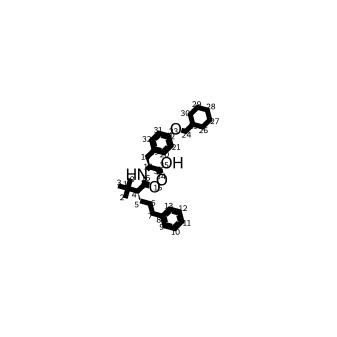 CC(C)(C)[C@@H](CCCc1ccccc1)C(=O)N[C@@H](Cc1ccc(OCC2CCCCC2)cc1)C(=O)O